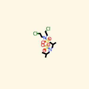 CC(C)CN(CC(C)C)S(=O)(=O)OS(=O)(=O)N(CCCl)CCCl